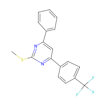 CSc1nc(-c2ccccc2)cc(-c2ccc(C(F)(F)F)cc2)n1